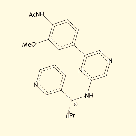 CCC[C@@H](Nc1cncc(-c2ccc(NC(C)=O)c(OC)c2)n1)c1cccnc1